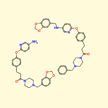 Nc1ccc(Oc2ccc(CCC(=O)N3CCN(Cc4ccc5c(c4)OCO5)CC3)cc2)nc1.O=C(CCc1ccc(Oc2ccc(NCc3ccc4c(c3)OCO4)cn2)cc1)N1CCN(Cc2ccccc2)CC1